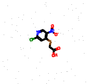 O=C(O)CSc1cc(Cl)ncc1[N+](=O)[O-]